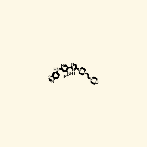 CC(C)Nc1cc(Nc2ccc3ncsc3c2)ncc1-c1ncc(N2CCN(CCN3CCOCC3)CC2)[nH]1